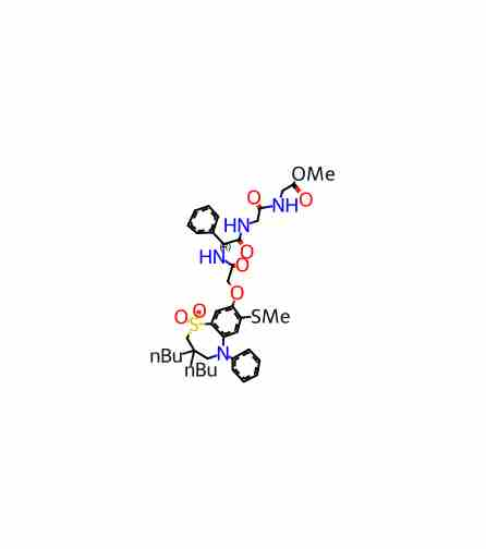 CCCCC1(CCCC)CN(c2ccccc2)c2cc(SC)c(OCC(=O)N[C@@H](C(=O)NCC(=O)NCC(=O)OC)c3ccccc3)cc2S(=O)(=O)C1